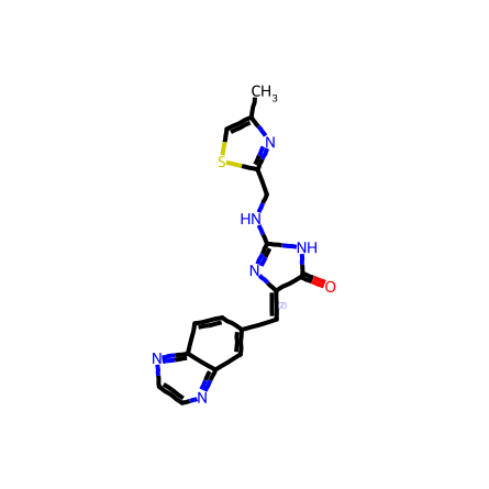 Cc1csc(CNC2=N/C(=C\c3ccc4nccnc4c3)C(=O)N2)n1